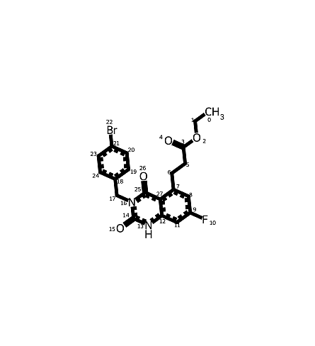 CCOC(=O)CCc1cc(F)cc2[nH]c(=O)n(Cc3ccc(Br)cc3)c(=O)c12